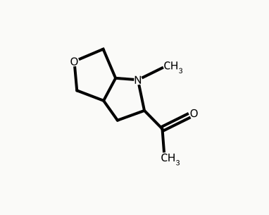 CC(=O)C1CC2COCC2N1C